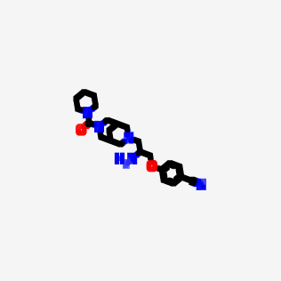 N#Cc1ccc(OCC(N)CN2CC3CC(C2)CN(C(=O)N2CCCCC2)C3)cc1